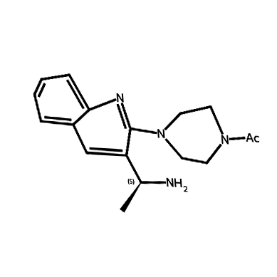 CC(=O)N1CCN(c2nc3ccccc3cc2[C@H](C)N)CC1